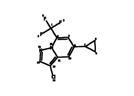 FC(F)(F)c1cc(C2CC2)cc2c(Cl)cnn12